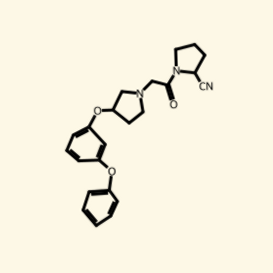 N#CC1CCCN1C(=O)CN1CCC(Oc2cccc(Oc3ccccc3)c2)C1